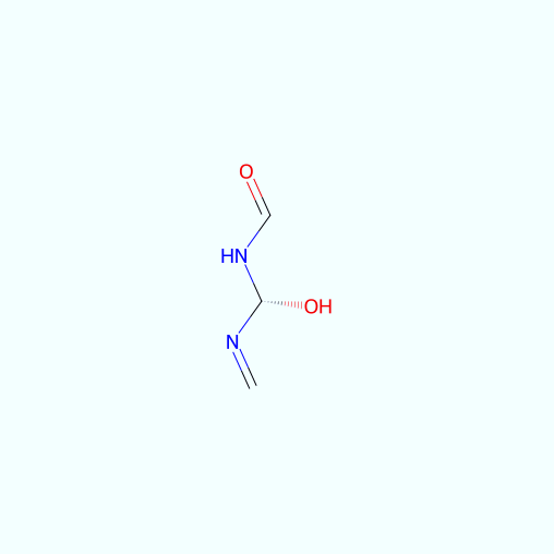 C=N[C@@H](O)NC=O